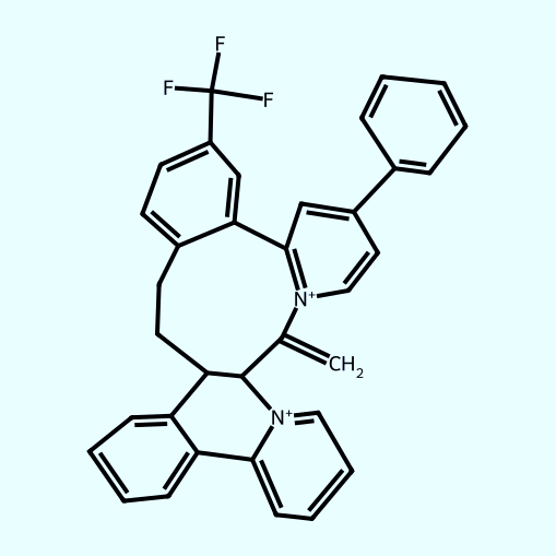 C=C1C2C(CCc3ccc(C(F)(F)F)cc3-c3cc(-c4ccccc4)cc[n+]31)c1ccccc1-c1cccc[n+]12